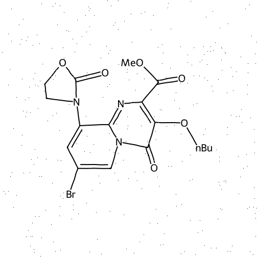 CCCCOc1c(C(=O)OC)nc2c(N3CCOC3=O)cc(Br)cn2c1=O